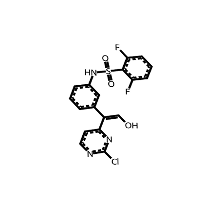 O=S(=O)(Nc1cccc(C(=CO)c2ccnc(Cl)n2)c1)c1c(F)cccc1F